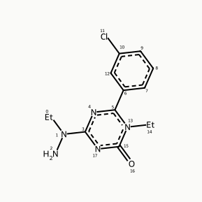 CCN(N)c1nc(-c2cccc(Cl)c2)n(CC)c(=O)n1